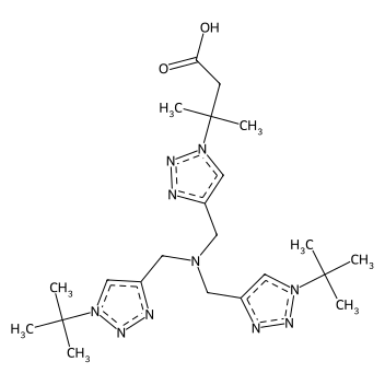 CC(C)(C)n1cc(CN(Cc2cn(C(C)(C)C)nn2)Cc2cn(C(C)(C)CC(=O)O)nn2)nn1